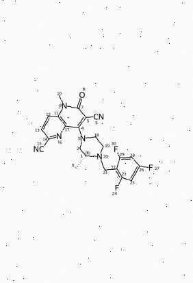 C[C@@H]1CN(c2c(C#N)c(=O)n(C)c3ccc(C#N)nc23)CCN1Cc1c(F)cc(F)cc1F